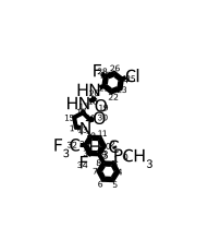 CP(C)c1ccccc1-c1ccc(N2CCC(NC(=O)Nc3ccc(Cl)cc3F)C2=O)c(C(F)(F)F)c1F